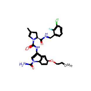 COCCOc1ccc2c(c1)c(NC(=O)N1CC(C)C[C@H]1C(=O)NCc1cccc(Cl)c1F)cn2C(N)=O